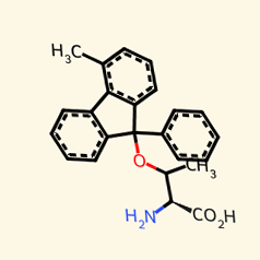 Cc1cccc2c1-c1ccccc1C2(OC(C)[C@H](N)C(=O)O)c1ccccc1